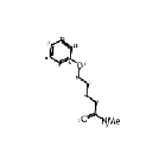 CNC(=O)CCCCOc1ccccc1